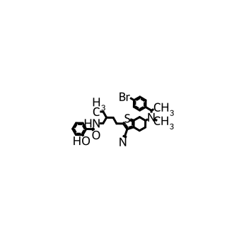 CCC(CCc1sc2c(c1C#N)CCC(N(C)C(C)c1ccc(Br)cc1)C2)CNC(=O)c1ccccc1O